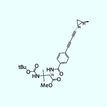 COC(=O)[C@@H](NC(=O)c1ccc(C#CC#C[C@@H]2C[C@H]2C)cc1)C(C)(C)NC(=O)OC(C)(C)C